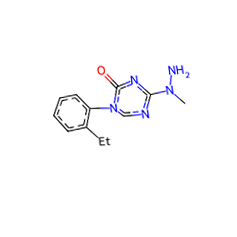 CCc1ccccc1-n1cnc(N(C)N)nc1=O